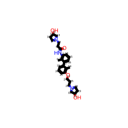 Cc1c(NC(=O)CCN2CCC(O)C2)cccc1-c1cccc(OCCCN2CCC(O)C2)c1C